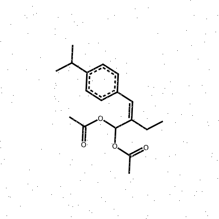 CCC(=Cc1ccc(C(C)C)cc1)C(OC(C)=O)OC(C)=O